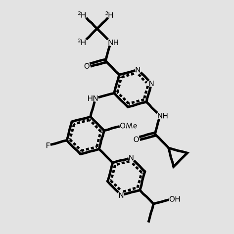 [2H]C([2H])([2H])NC(=O)c1nnc(NC(=O)C2CC2)cc1Nc1cc(F)cc(-c2cnc(C(C)O)cn2)c1OC